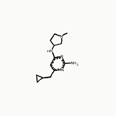 CN1CCC(Nc2cc(CC3CC3)nc(N)n2)C1